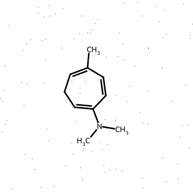 CC1=CCC=C(N(C)C)C=C1